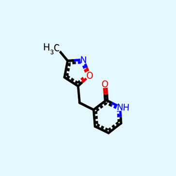 Cc1cc(Cc2ccc[nH]c2=O)on1